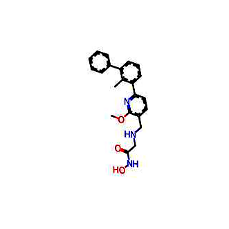 COc1nc(-c2cccc(-c3ccccc3)c2C)ccc1CNCC(=O)NO